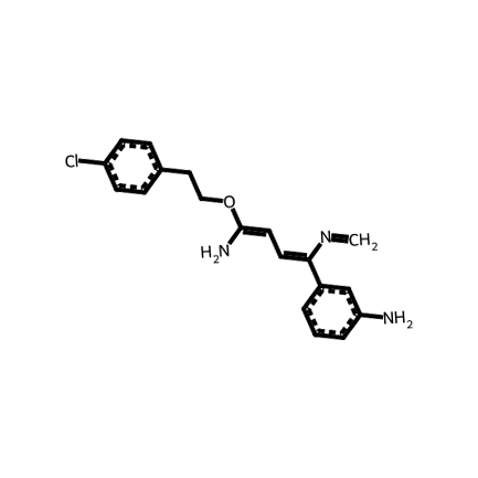 C=N/C(=C\C=C(/N)OCCc1ccc(Cl)cc1)c1cccc(N)c1